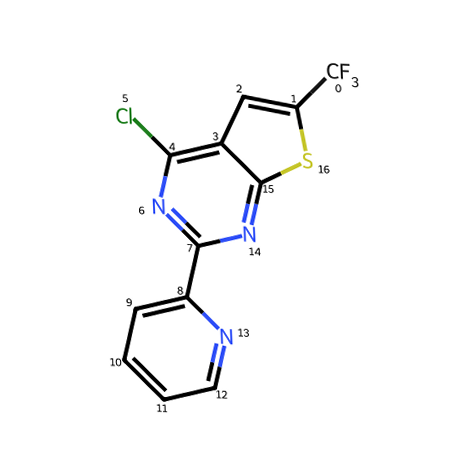 FC(F)(F)c1cc2c(Cl)nc(-c3ccccn3)nc2s1